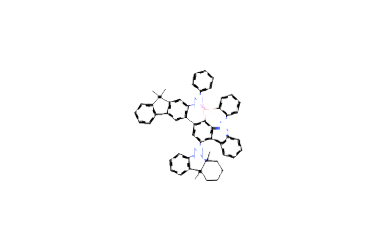 CC1(C)c2ccccc2-c2cc3c(cc21)N(c1ccccc1)B1c2ccccc2-n2c4ccccc4c4c(N5c6ccccc6C6(C)CCCCC56C)cc-3c1c42